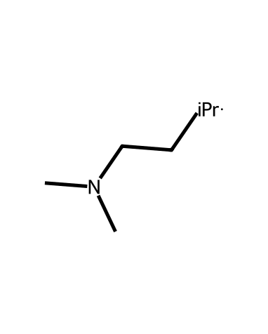 C[C](C)CCN(C)C